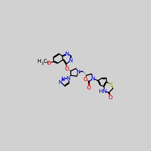 COc1ccc2ncnc(O[C@@H]3CN(C[C@@H]4CN(c5ccc6c(c5)NC(=O)CS6)C(=O)O4)C[C@H]3n3ccnn3)c2c1